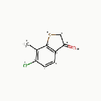 Cc1c(Cl)ccc2c1SCC2=O